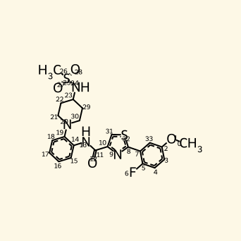 COc1ccc(F)c(-c2nc(C(=O)Nc3ccccc3N3CCC(NS(C)(=O)=O)CC3)cs2)c1